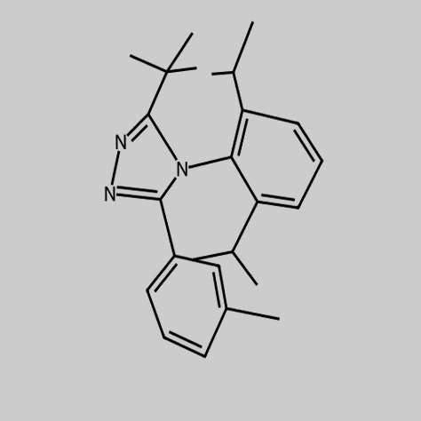 Cc1cccc(-c2nnc(C(C)(C)C)n2-c2c(C(C)C)cccc2C(C)C)c1